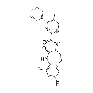 Cc1cnc(C(=O)N(C)C2CCc3cc(F)cc(F)c3NC2=O)nc1-c1ccccc1